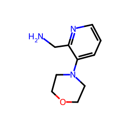 NCc1ncccc1N1CCOCC1